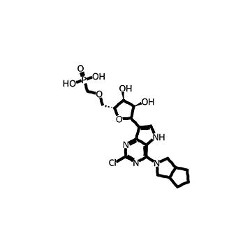 O=P(O)(O)COC[C@H]1OC(c2c[nH]c3c(N4CC5CCCC5C4)nc(Cl)nc23)[C@H](O)[C@@H]1O